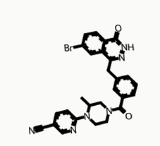 CC1CN(C(=O)c2cccc(Cc3n[nH]c(=O)c4ccc(Br)cc34)c2)CCN1c1ccc(C#N)cn1